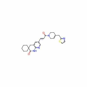 O=C(/C=C/c1cnc2c(c1)CC1(CCCCC1)C(=O)N2)N1CC=C(Cc2nccs2)CC1